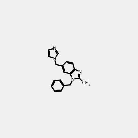 FC(F)(F)c1nc2ccc(Cn3ccnc3)cc2n1Cc1ccccc1